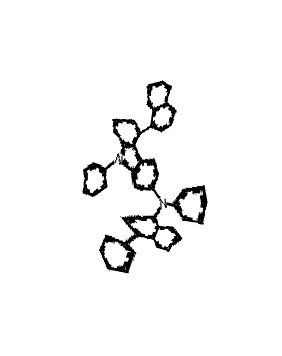 c1ccc(-c2ccc(N(c3ccccc3)c3ccc4c5c(-c6cccc7ccccc67)cccc5n(-c5ccccc5)c4c3)c3ccccc23)cc1